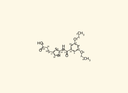 CCOc1cc(OCC)cc(C(=O)Nc2ncc(SCC(=O)O)s2)c1